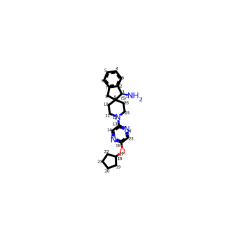 N[C@@H]1c2ccccc2CC12CCN(c1cnc(OC3CCCC3)cn1)CC2